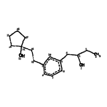 CCC(O)Cc1cccc(CCC2(O)CCCC2)c1